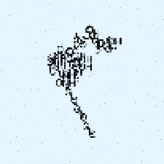 CC[C@@]1(O)C(=O)OCc2c1cc1n(c2=O)Cc2c-1nc1ccccc1c2CCN(C(=O)OCc1ccc(NC(=O)[C@H](C)NC(=O)[C@@H](NC(=O)CC[C@H](N)C(=O)NCCOCCOCCOCCOCCOCCOC)C(C)C)c(O[C@@H]2O[C@H](C(=O)O)[C@@H](O)[C@H](O)[C@H]2O)c1)C(C)C